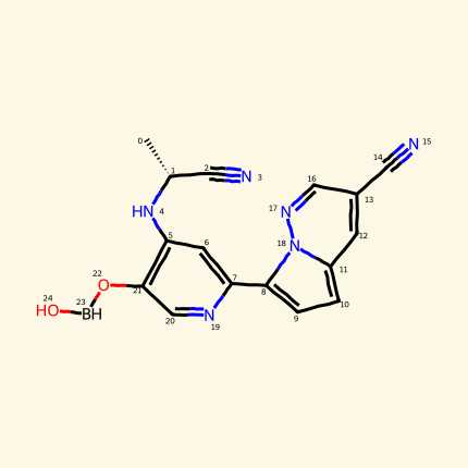 C[C@H](C#N)Nc1cc(-c2ccc3cc(C#N)cnn23)ncc1OBO